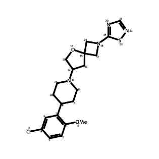 COc1ccc(Cl)cc1C1CCN(C2COC3(C2)CN(c2ncns2)C3)CC1